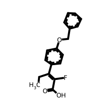 CCC(=C(F)C(=O)O)c1ccc(OCc2ccccc2)cc1